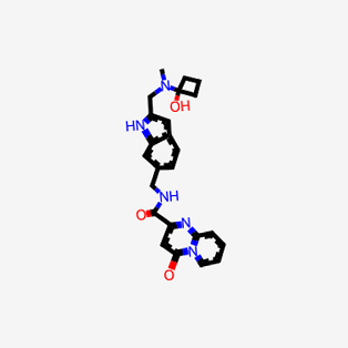 CN(Cc1cc2ccc(CNC(=O)c3cc(=O)n4ccccc4n3)cc2[nH]1)C1(O)CCC1